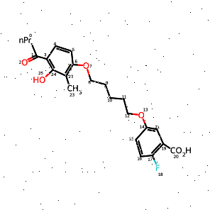 CCCC(=O)c1ccc(OCCCCCOc2ccc(F)c(C(=O)O)c2)c(C)c1O